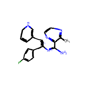 Cc1nccnc1/C(N)=N\C(=C\C1=CNCC=C1)c1ccc(F)cc1